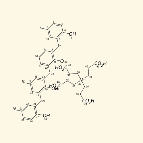 Cc1ccc(O)c(Cc2cccc(Cc3cc(C)cc(Cc4cc(C)ccc4O)c3O)c2[O-])c1.O=C(O)CC[N+](CCC(=O)O)(CCC(=O)O)CCC(=O)O